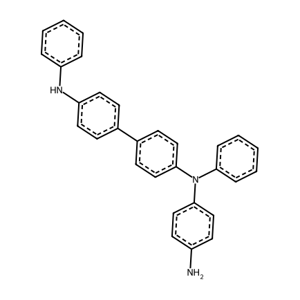 Nc1ccc(N(c2ccccc2)c2ccc(-c3ccc(Nc4ccccc4)cc3)cc2)cc1